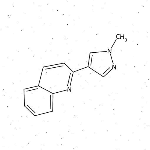 Cn1cc(-c2ccc3ccccc3n2)cn1